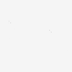 NC(=O)c1ccc(N=CC=S)cc1